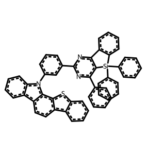 c1ccc(-c2nc(-c3cccc(-n4c5ccccc5c5ccc6c7ccccc7sc6c54)c3)nc3c2[Si](c2ccccc2)(c2ccccc2)c2ccccc2-3)cc1